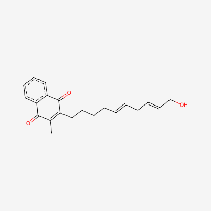 CC1=C(CCCCC=CCC=CCO)C(=O)c2ccccc2C1=O